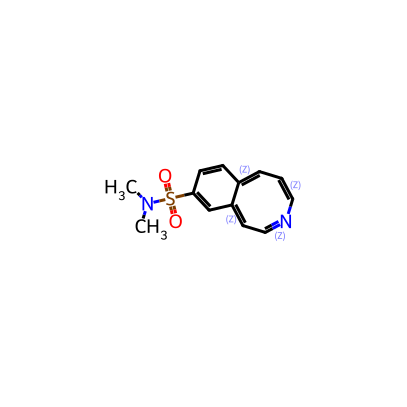 CN(C)S(=O)(=O)c1ccc2/c(c1)=C\C=N/C=C\C=2